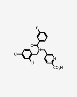 O=C(O)c1ccc(CN(Cc2ccc(Cl)cc2Cl)C(=O)c2cccc(F)c2)cn1